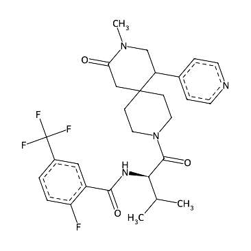 CC(C)[C@@H](NC(=O)c1cc(C(F)(F)F)ccc1F)C(=O)N1CCC2(CC1)CC(=O)N(C)CC2c1ccncc1